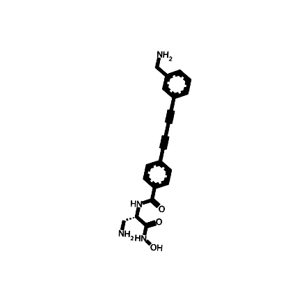 NCc1cccc(C#CC#Cc2ccc(C(=O)N[C@@H](CN)C(=O)NO)cc2)c1